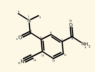 CN(C)C(=O)c1cc(C(N)=O)ccc1C#N